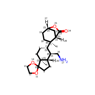 C[C@]1([C@H]2CC[C@@]3(C)[C@@H](CCC34OCCO4)[C@@H]2CN)CC[C@H]2C[C@@H]1C(=O)O2